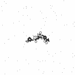 COC(=O)C1(c2ccc(Cn3c(=O)c4cc(C(=O)NCc5cccc(OC)c5)sc4n(C)c3=O)cc2)CC1